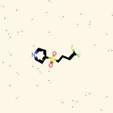 O=S(=O)(CCC=C(F)F)c1ccncc1